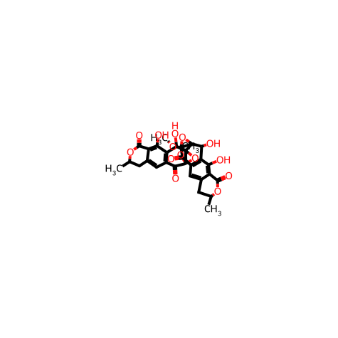 COC12OC1(C13OC1(OC)C(=O)c1cc4c(c(O)c1C3O)C(=O)OC(C)C4)C(O)c1c(cc3c(c1O)C(=O)OC(C)C3)C2=O